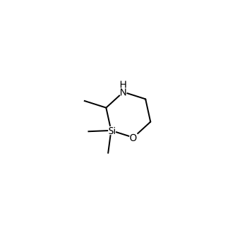 CC1NCCO[Si]1(C)C